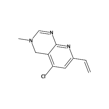 C=Cc1cc(Cl)c2c(n1)N=CN(C)C2